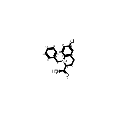 NC(=O)C1[C]Cc2cc(Cl)ccc2N1Cc1ccccc1